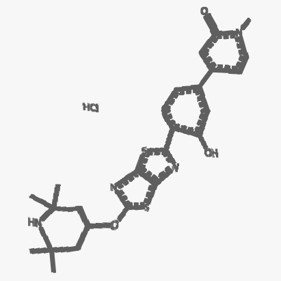 Cl.Cn1ccc(-c2ccc(-c3nc4sc(OC5CC(C)(C)NC(C)(C)C5)nc4s3)c(O)c2)cc1=O